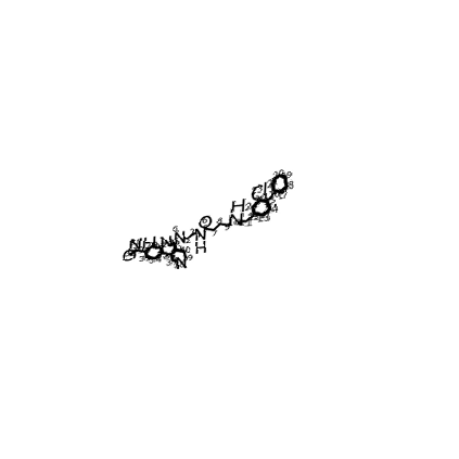 CN(CCNC(=O)CCCNCc1ccc(-c2ccccc2)c(Cl)c1)c1nc2cc(C(N)=O)ccc2c2cnccc12